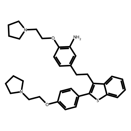 Nc1cc(CCc2c(-c3ccc(OCCN4CCCC4)cc3)sc3ccccc23)ccc1OCCN1CCCC1